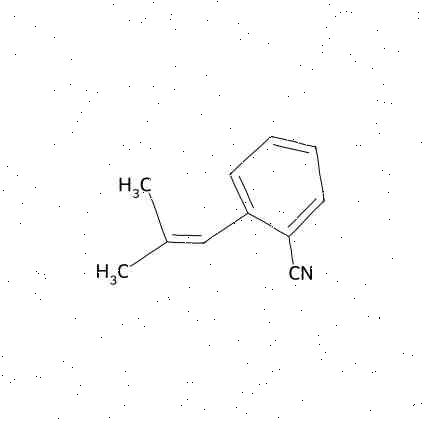 CC(C)=Cc1ccccc1C#N